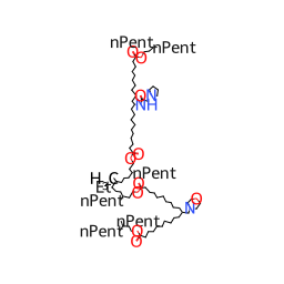 CCCCCC(CCCCC)CCOC(=O)CCCCCCCCCC(CCCCCCCCCC(=O)OCCC(CCCCC)CCC(CC)C(C)CCCC(CCCCC)CCOC(=O)CCCCCCCCCC(CCCCCCCCCC(=O)OCCC(CCCCC)CCCCC)NC(=O)CN1CCCC1)CN1CCOCC1